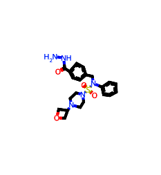 NNC(=O)c1ccc(CN(c2ccccc2)S(=O)(=O)N2CCN(C3COC3)CC2)cc1